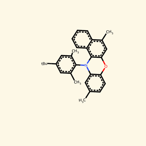 Cc1ccc2c(c1)N(c1c(C)cc(C(C)(C)C)cc1C)c1c(cc(C)c3ccccc13)O2